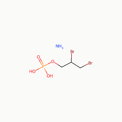 N.O=P(O)(O)OCC(Br)CBr